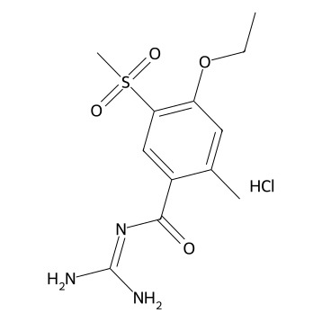 CCOc1cc(C)c(C(=O)N=C(N)N)cc1S(C)(=O)=O.Cl